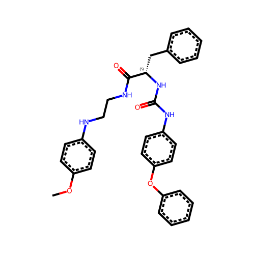 COc1ccc(NCCNC(=O)[C@H](Cc2ccccc2)NC(=O)Nc2ccc(Oc3ccccc3)cc2)cc1